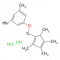 CC1=C(C)C(C)[C]([Ti][O]c2cc(C)cc(C(C)(C)C)c2)=C1C.Cl.Cl